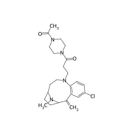 C=C1c2cc(Cl)ccc2N(CCC(=O)N2CCN(C(C)=O)CC2)CCC2CCC1N2C